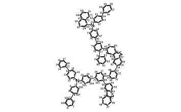 c1ccc(-c2ccc(N(c3ccc(-c4ccccc4)cc3)c3ccc(-c4ccc(-c5cccc(-c6ccc7sc8ccc(-c9cc(-c%10ccc(N(c%11ccc(-c%12ccccc%12)cc%11)c%11cccc%12ccccc%11%12)cc%10)ccc9-c9ccccc9)cc8c7c6)c5)c(-c5ccc6sc7ccccc7c6c5)c4)cc3)cc2)cc1